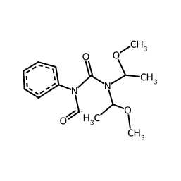 COC(C)N(C(=O)N([C]=O)c1ccccc1)C(C)OC